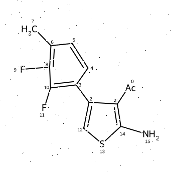 CC(=O)c1c(-c2ccc(C)c(F)c2F)csc1N